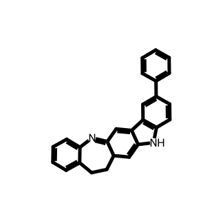 C1=c2[nH]c3ccc(-c4ccccc4)cc3c2=CC2=Nc3ccccc3CCC12